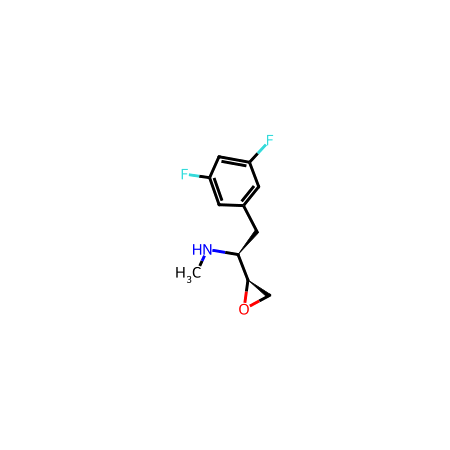 CN[C@@H](Cc1cc(F)cc(F)c1)[C@H]1CO1